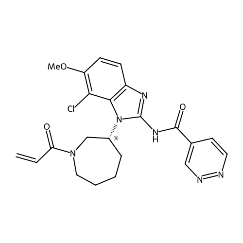 C=CC(=O)N1CCCC[C@@H](n2c(NC(=O)c3ccnnc3)nc3ccc(OC)c(Cl)c32)C1